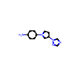 Nc1ccc(-n2ccc(-n3cncn3)c2)cc1